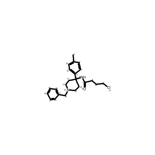 Cc1ccc(C2(NC(=O)CCCCl)CCN(Cc3ccccc3)CC2)cc1